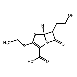 CCSC1=C(C(=O)O)N2C(=O)C(CCO)[C@@H]2S1